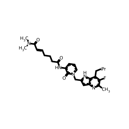 Cc1nc2cc(Cn3cccc(NC(=O)[CH]CC/C=C/C(=O)N(C)C)c3=O)[nH]c2c(CC(C)C)c1F